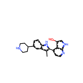 Cc1c(-c2ccnc3[nH]cc(O)c23)[nH]c2ccc(C3CCNCC3)cc12